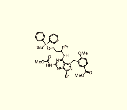 CCCC(CCO[Si](c1ccccc1)(c1ccccc1)C(C)(C)C)Nc1nc(NC(=O)OC)nc2c(Br)nn(Cc3cc(C(=O)OC)ccc3OC)c12